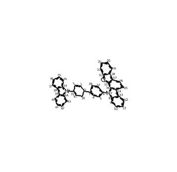 C1=CC(c2ccc(-n3c4ccccc4c4ccc5c6ccccc6oc5c43)cc2)CC=C1n1c2ccccc2c2ccccc21